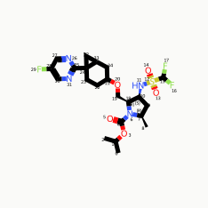 CC(C)OC(=O)N1[C@H](C)C[C@H](NS(=O)(=O)C(F)F)[C@@H]1COC1CCC2(c3ncc(F)cn3)CC2C1